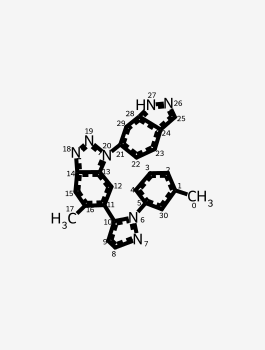 Cc1cccc(-n2nccc2-c2cc3c(cc2C)nnn3-c2ccc3cn[nH]c3c2)c1